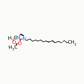 CCCCCCCCCCCCCCCCN1C=CN(C)C1OC(C)=O